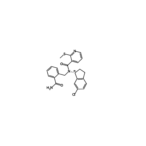 CSc1ncccc1C(=O)N(Cc1ccccc1C(N)=O)[C@@H]1CCc2ccc(Cl)cc21